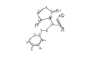 O=C1CCC(=O)N1C(CCc1ccccn1)C(=S)S